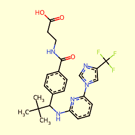 CC(C)(C)C(Nc1cccc(-n2cnc(C(F)(F)F)c2)n1)c1ccc(C(=O)NCCC(=O)O)cc1